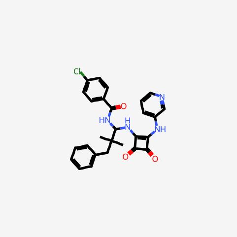 CC(C)(Cc1ccccc1)C(NC(=O)c1ccc(Cl)cc1)Nc1c(Nc2cccnc2)c(=O)c1=O